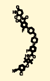 CC1(C)[C@H](NC(=O)c2ccc(N3CCN(CC4CCN(c5cc6c(cc5F)C(=O)N(C5CCC(=O)NC5=O)C6=O)CC4)CC3)cc2F)C(C)(C)[C@H]1Oc1ccc(C#N)c(Cl)c1